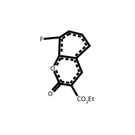 CCOC(=O)c1cc2cccc(F)c2oc1=O